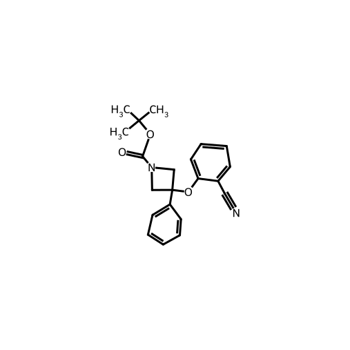 CC(C)(C)OC(=O)N1CC(Oc2ccccc2C#N)(c2ccccc2)C1